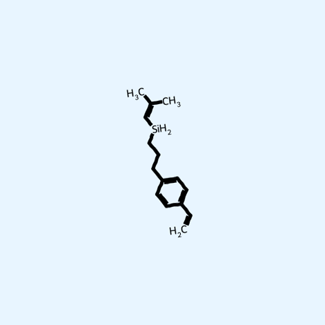 C=Cc1ccc(CCC[SiH2]C=C(C)C)cc1